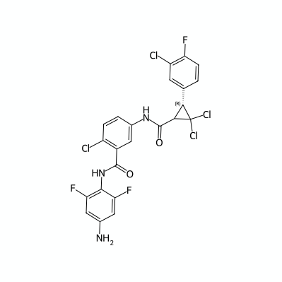 Nc1cc(F)c(NC(=O)c2cc(NC(=O)C3[C@H](c4ccc(F)c(Cl)c4)C3(Cl)Cl)ccc2Cl)c(F)c1